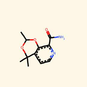 CC1Oc2c(ccnc2C(N)=O)C(C)(C)O1